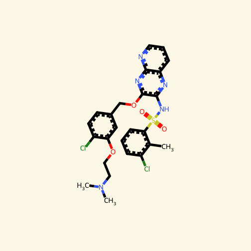 Cc1c(Cl)cccc1S(=O)(=O)Nc1nc2cccnc2nc1OCc1ccc(Cl)c(OCCN(C)C)c1